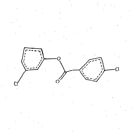 O=C(Oc1cccc(Cl)c1)c1ccc(Cl)cc1